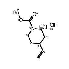 C=CC1CCN(C(=O)OC(C)(C)C)CC1.Cl.Cl